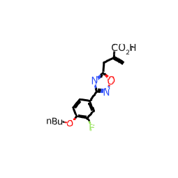 C=C(Cc1nc(-c2ccc(OCCCC)c(F)c2)no1)C(=O)O